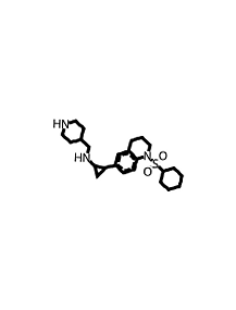 O=S(=O)(C1CCCCC1)N1CCCc2cc(C3CC3NCC3CCNCC3)ccc21